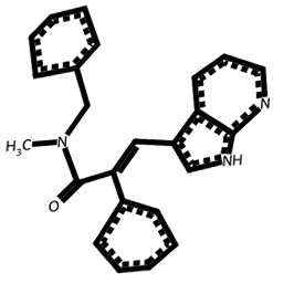 CN(Cc1ccccc1)C(=O)/C(=C/c1c[nH]c2ncccc12)c1ccccc1